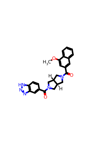 COc1cc(C(=O)N2C[C@H]3CN(C(=O)c4ccc5[nH]nnc5c4)C[C@@H]3C2)cc2ccccc12